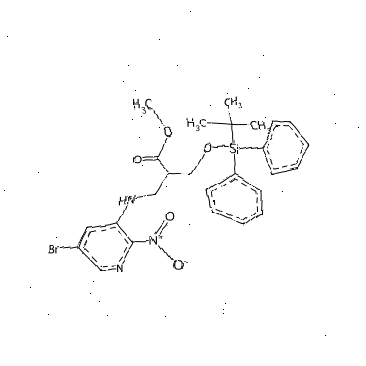 COC(=O)C(CNc1cc(Br)cnc1[N+](=O)[O-])CO[Si](c1ccccc1)(c1ccccc1)C(C)(C)C